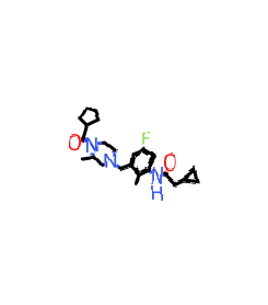 Cc1c(CN2CCN(C(=O)C3CCCC3)C(C)C2)cc(F)cc1NC(=O)CC1CC1